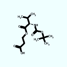 CC(C)[C@H](NC(=O)OC(C)(C)C)C(=O)OCCC(=O)O